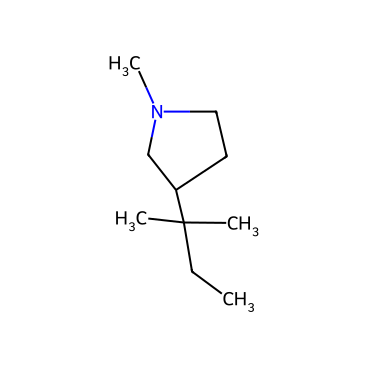 CCC(C)(C)C1CCN(C)C1